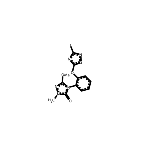 COc1nn(C)c(=O)n1-c1ccccc1Oc1nc(I)ns1